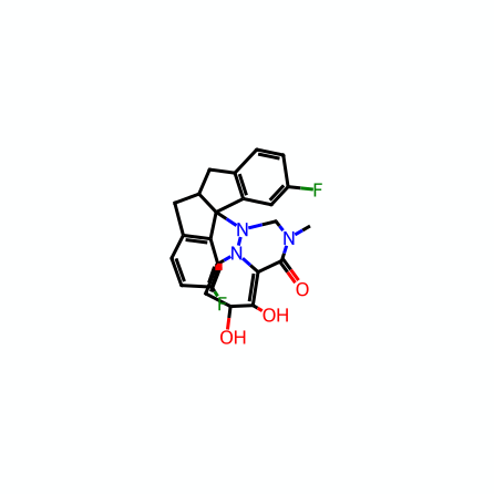 CN1CN(C23c4cc(F)ccc4CC2Cc2ccc(F)cc23)N2C=CC(O)C(O)=C2C1=O